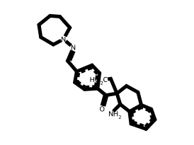 NC1c2ccccc2CCC1(CC(=O)O)C(=O)c1ccc(C=NN2CCCCCC2)cc1